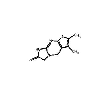 Cc1sc2c(c1C)CN1CC(=O)NC1=N2